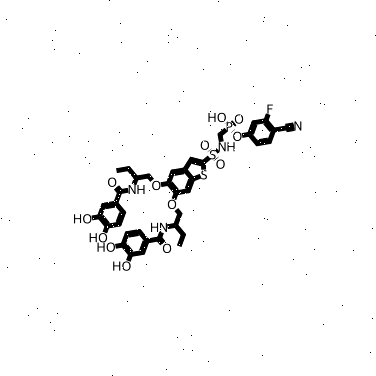 CCC(COc1cc2cc(S(=O)(=O)NCP(=O)(O)Oc3ccc(C#N)c(F)c3)sc2cc1OCC(CC)NC(=O)c1ccc(O)c(O)c1)NC(=O)c1ccc(O)c(O)c1